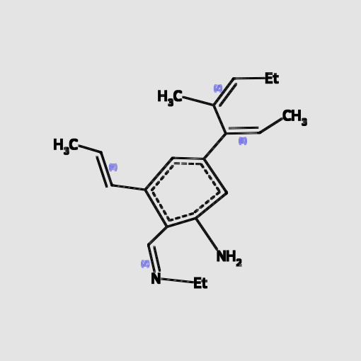 C/C=C/c1cc(C(=C/C)/C(C)=C\CC)cc(N)c1/C=N\CC